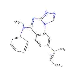 C/C=C(\C)c1ccc2c(N(C)c3ccccc3)nc3nncn3c2c1